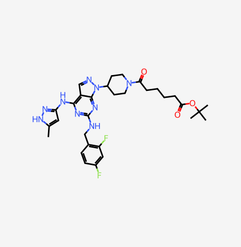 Cc1cc(Nc2nc(NCc3ccc(F)cc3F)nc3c2cnn3C2CCN(C(=O)CCCCC(=O)OC(C)(C)C)CC2)n[nH]1